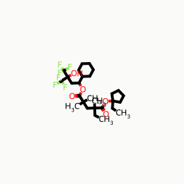 CCC1(OC(=O)C(C)(CC)CC(C)(C)C(=O)OC(CC(O)(C(F)(F)F)C(F)(F)F)C2CCCCC2)CCCC1